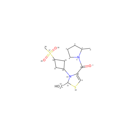 CC1CCCN1C(=O)C1=CSC(C(=O)O)N1C1CC(S(C)(=O)=O)C1